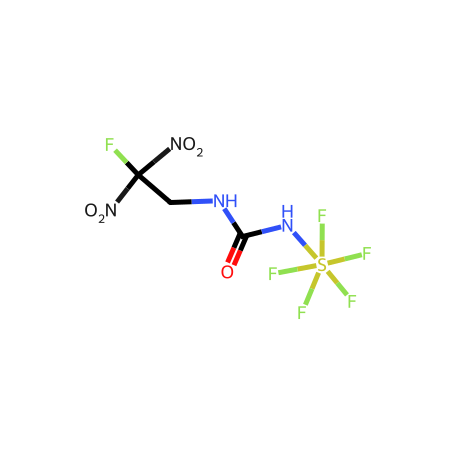 O=C(NCC(F)([N+](=O)[O-])[N+](=O)[O-])NS(F)(F)(F)(F)F